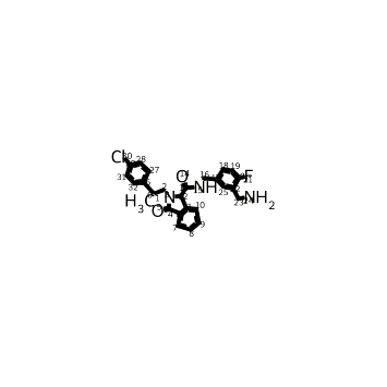 CC(CN1C(=O)c2ccccc2C1C(=O)NCc1ccc(F)c(CN)c1)c1ccc(Cl)cc1